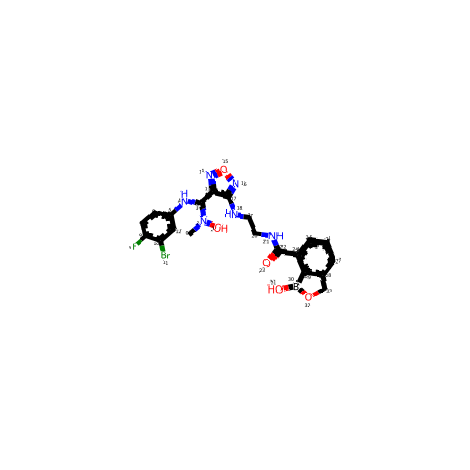 CN(O)C(Nc1ccc(F)c(Br)c1)c1nonc1NCCNC(=O)c1cccc2c1B(O)OC2